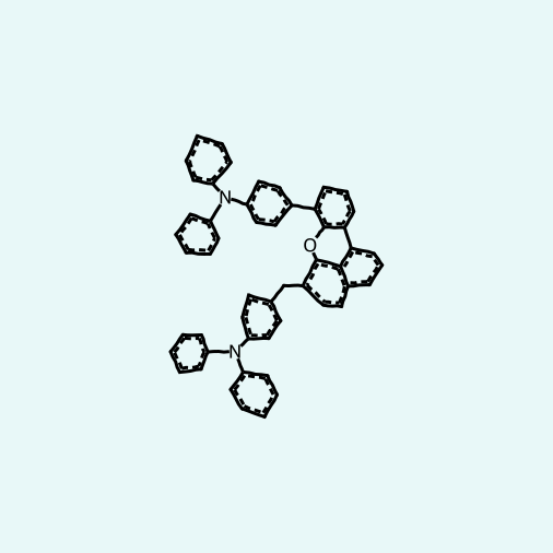 c1ccc(N(c2ccccc2)c2ccc(Cc3ccc4cccc5c4c3Oc3c(-c4ccc(N(c6ccccc6)c6ccccc6)cc4)cccc3-5)cc2)cc1